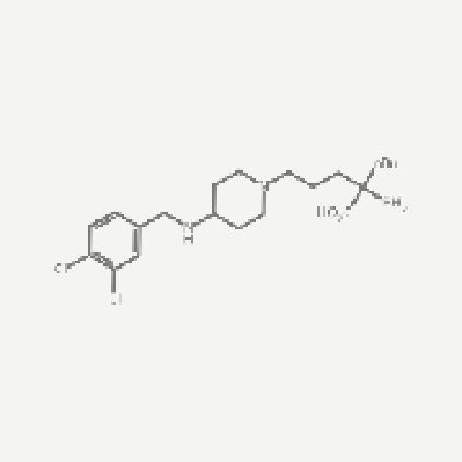 BC(CCCC)(CCCN1CCC(NCc2ccc(Cl)c(Cl)c2)CC1)C(=O)O